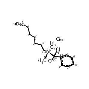 CCCCCCCCCCCCCCCC[N+](C)(C)C(Cl)(Cl)c1ccccc1.[Cl-]